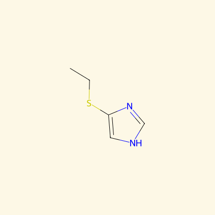 CCSc1c[nH]cn1